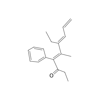 C=C/C=C(CC)/C(C)=C(/C(=O)CC)c1ccccc1